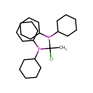 CC(Cl)(P(C1CCCCC1)C1CCCCC1)P(C1CCCCC1)C1CCCCC1